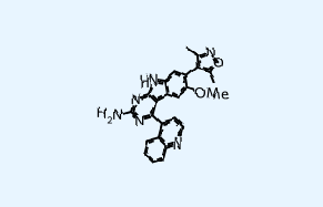 COc1cc2c(cc1-c1c(C)noc1C)[nH]c1nc(N)nc(-c3ccnc4ccccc34)c12